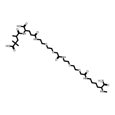 CNC(CCCCNC(=O)COCCOCCNC(=O)COCCOCCNC(=O)CCC(NC(=O)C(C)CC(C)(C)C(=O)O)C(=O)O)C(N)=O